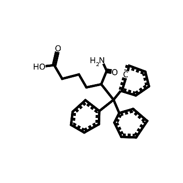 NC(=O)C(CCCC(=O)O)C(c1ccccc1)(c1ccccc1)c1ccccc1